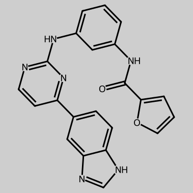 O=C(Nc1cccc(Nc2nccc(-c3ccc4[nH]cnc4c3)n2)c1)c1ccco1